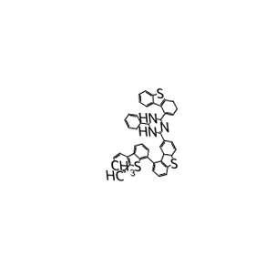 C#Cc1sc2c(-c3cccc4c3C3C=C(C5=NC(C6=CCCc7sc8ccccc8c76)NC(C6C=CC=CC6)N5)C=CC3S4)cccc2c1/C=C\C